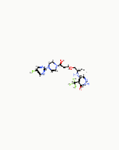 CC(COCCC(=O)N1CCN(c2ncc(F)cn2)CC1)Nc1cn[nH]c(=O)c1C(F)(F)F